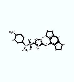 CN1CCC(N(C)S(=O)(=O)c2nnc(Nc3c4c(cc5c3CCC5)CCC4)[nH]2)CC1